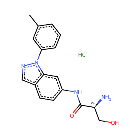 Cc1cccc(-n2ncc3ccc(NC(=O)[C@@H](N)CO)cc32)c1.Cl